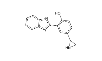 Oc1ccc(C2CN2)cc1-n1nc2ccccc2n1